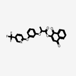 CC(Oc1cccc(Oc2ccc(C(F)(F)F)cn2)c1)C(=O)OC1=CC(=O)c2ccccc2C1=O